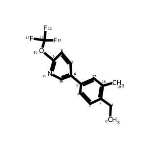 CCc1ccc(-c2ccc(OC(F)(F)F)nc2)cc1C